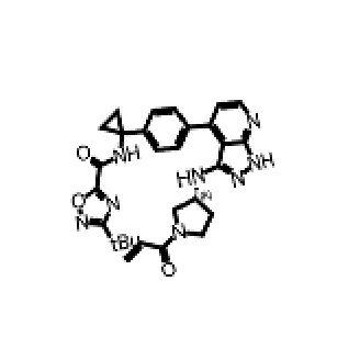 C=CC(=O)N1CC[C@@H](Nc2n[nH]c3nccc(-c4ccc(C5(NC(=O)c6nc(C(C)(C)C)no6)CC5)cc4)c23)C1